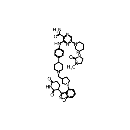 CN1CCN([C@@H]2CCCN(c3cnc(C(N)=O)c(Nc4ccc(C5CCN(CC6CCN(c7cccc8onc(C9CCC(=O)NC9=O)c78)C6)CC5)cc4)n3)C2)C1=O